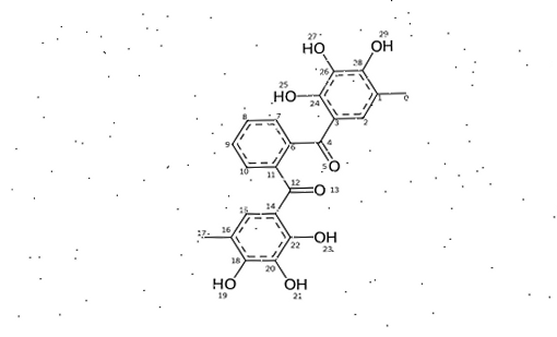 Cc1cc(C(=O)c2ccccc2C(=O)c2cc(C)c(O)c(O)c2O)c(O)c(O)c1O